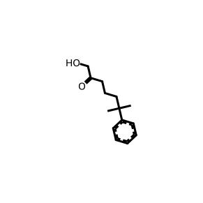 CC(C)(CCCC(=O)CO)c1ccccc1